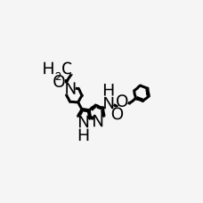 C=CC(=O)N1CCC(c2c[nH]c3ncc(NC(=O)OCC4=CC=CCC4)cc23)CC1